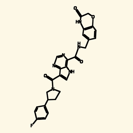 O=C1COc2ccc(CNC(=O)c3ncnc4c(C(=O)N5CCC(c6ccc(F)cc6)C5)c[nH]c34)cc2N1